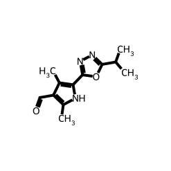 Cc1[nH]c(-c2nnc(C(C)C)o2)c(C)c1C=O